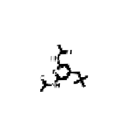 CC(=O)Nc1cc(CC(C)(C)C)cc(NC(C)=O)n1